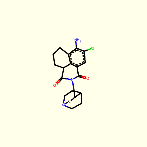 Nc1c(Cl)cc2c3c1CCCC3C(=O)N(C1CN3CCC1CC3)C2=O